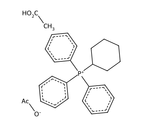 CC(=O)O.CC(=O)[O-].c1ccc([P+](c2ccccc2)(c2ccccc2)C2CCCCC2)cc1